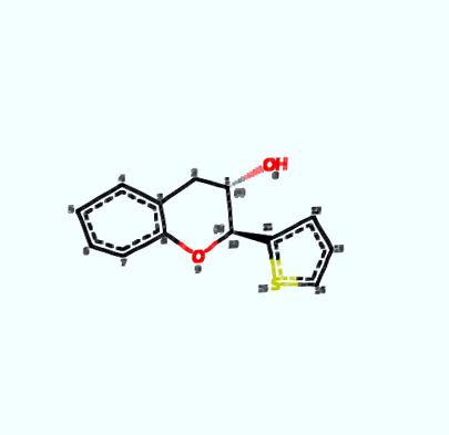 O[C@H]1Cc2ccccc2O[C@@H]1c1cccs1